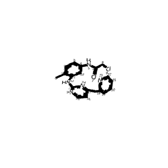 Cc1ccc(NC(=O)CCl)cc1Nc1nccc(-c2ccccn2)n1